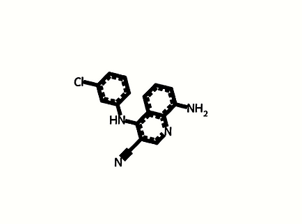 N#Cc1cnc2c(N)cccc2c1Nc1cccc(Cl)c1